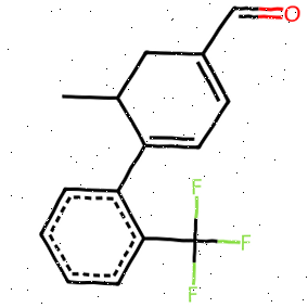 CC1CC(C=O)=CC=C1c1ccccc1C(F)(F)F